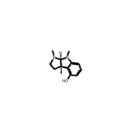 CN1CC[C@@]2(C)c3c(O)cccc3N(C)[C@@H]12